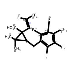 Cc1c(F)c(F)c(CC2C(C)(C)C2(/C=C(\Cl)C(F)(F)F)C(=O)O)c(F)c1F